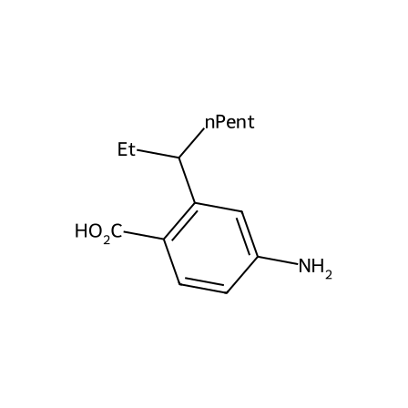 CCCCCC(CC)c1cc(N)ccc1C(=O)O